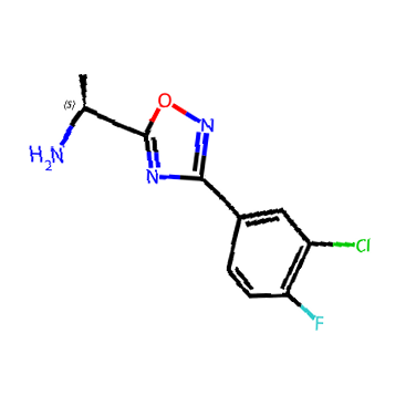 C[C@H](N)c1nc(-c2ccc(F)c(Cl)c2)no1